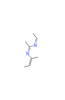 C\C=N/C(C)=N\C(C)=C/C